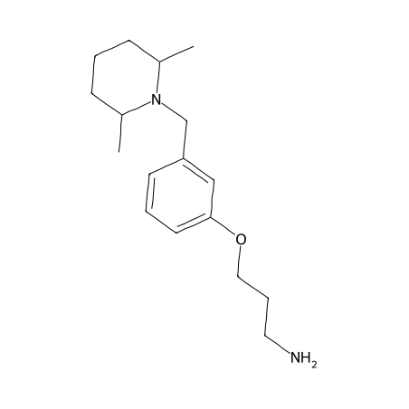 CC1CCCC(C)N1Cc1cccc(OCCCN)c1